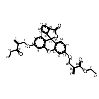 C=C(COc1ccc2c(c1)Oc1cc(OCC(=C)C(=O)OCC)ccc1C21OC(=O)c2ccccc21)C(=O)CC